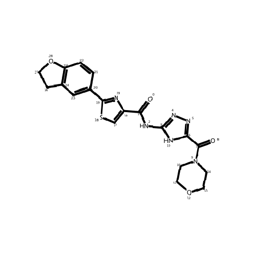 O=C(Nc1nnc(C(=O)N2CCOCC2)[nH]1)c1csc(-c2ccc3c(c2)CCO3)n1